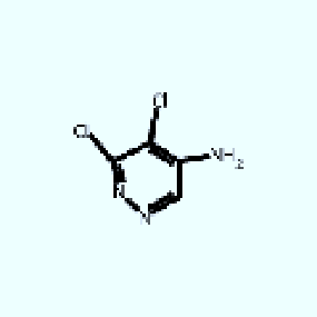 Nc1cnnc(Cl)c1Cl